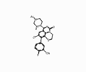 CC(=O)N1CCN(c2nc(=O)n3c4c(c(-c5ccc(F)c(C#N)c5)c(Cl)cc24)SCC3)[C@@H](C)C1